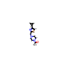 CCC(=O)N1CCN(Cc2nc(C3CC3)cs2)CC1